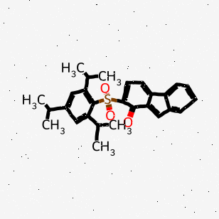 CC(C)c1cc(C(C)C)c(S(=O)(=O)C2=CC=C3C(=Cc4ccccc43)C2=O)c(C(C)C)c1